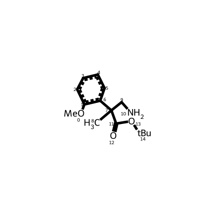 COc1ccccc1C(C)(CN)C(=O)OC(C)(C)C